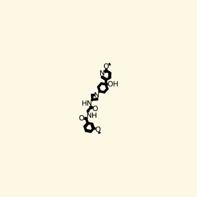 COc1cccc(C(=O)NCC(=O)NC2CN(C3CCC(O)(c4ccc(OC)nc4)CC3)C2)c1